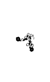 CC(COC1SC(=O)N(Cc2ccccc2)C1=O)N1CC(COCc2ccccc2)OC1=O